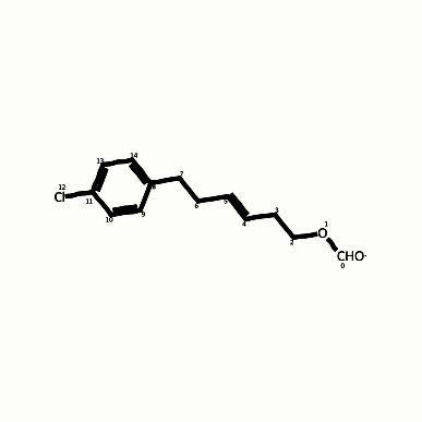 O=[C]OCCC=CCCc1ccc(Cl)cc1